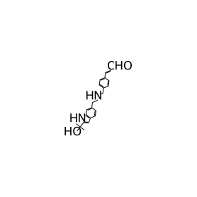 CC(C)(O)c1cc2ccc(CCNCc3ccc(/C=C/C=O)cc3)cc2[nH]1